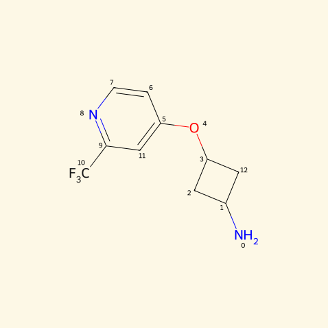 NC1CC(Oc2ccnc(C(F)(F)F)c2)C1